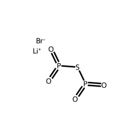 O=P(=O)SP(=O)=O.[Br-].[Li+]